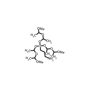 COC(C)OC(C)[O][Ti]([CH2]CCN)([O]C(C)OC(C)OC)[O]C(C)OC(C)OC